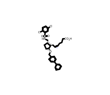 O=C(O)CCC/C=C\C[C@@H]1[C@@H](CNS(=O)(=O)c2cc(Cl)ccc2Cl)CC[C@@H]1OCc1ccc(-c2ccccc2)cc1